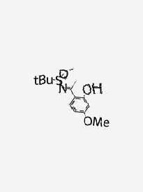 COc1ccc(C(C)=N[S+]([O-])C(C)(C)C)c(O)c1